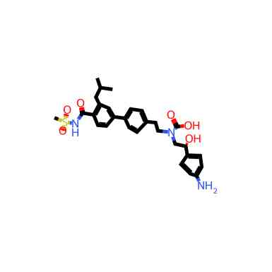 CC(C)Cc1cc(-c2ccc(CCN(C[C@@H](O)c3ccc(N)cc3)C(=O)O)cc2)ccc1C(=O)NS(C)(=O)=O